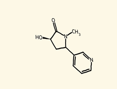 CN1C(=O)[C@H](O)CC1c1cccnc1